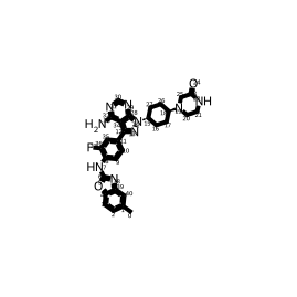 Cc1ccc2oc(Nc3ccc(-c4nn([C@H]5CC[C@H](N6CCNC(=O)C6)CC5)c5ncnc(N)c45)cc3F)nc2c1